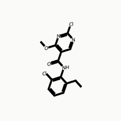 CCc1cccc(Cl)c1NC(=O)c1cnc(Cl)nc1OC